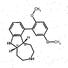 COc1ccc(OC)c(-c2cccc3c2[C@@H]2CCNCC[C@@H]2N3)c1